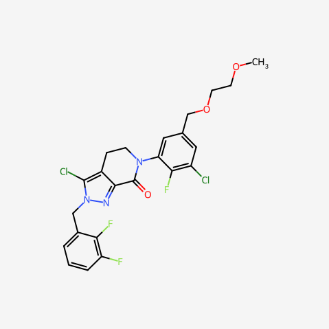 COCCOCc1cc(Cl)c(F)c(N2CCc3c(nn(Cc4cccc(F)c4F)c3Cl)C2=O)c1